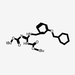 CC(C)(C)OC(=O)/N=C(/NCc1c#ccc(OCC2CCCCC2)c1)NC(=O)OC(C)(C)C